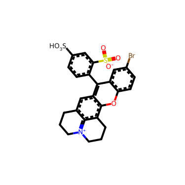 O=S(=O)([O-])c1cc(S(=O)(=O)O)ccc1C1=c2cc3c4c(c2Oc2ccc(Br)cc21)CCC[N+]=4CCC3